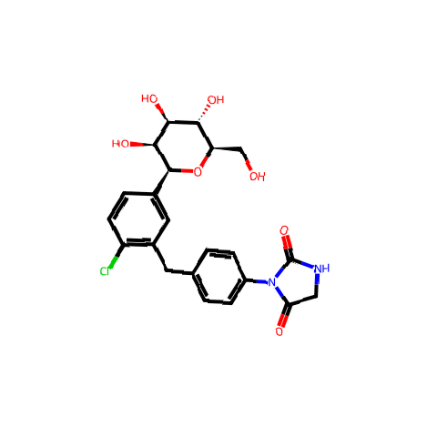 O=C1CNC(=O)N1c1ccc(Cc2cc([C@@H]3O[C@H](CO)[C@@H](O)[C@H](O)[C@@H]3O)ccc2Cl)cc1